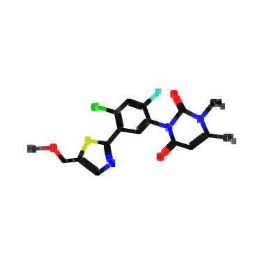 CCOCc1cnc(-c2cc(-n3c(=O)cc(C(F)(F)F)n(C)c3=O)c(F)cc2Cl)s1